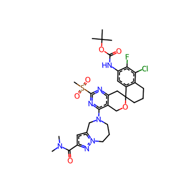 CN(C)C(=O)c1cc2n(n1)CCCN(c1nc(S(C)(=O)=O)nc3c1COC1(CCCc4c1cc(NC(=O)OC(C)(C)C)c(F)c4Cl)C3)C2